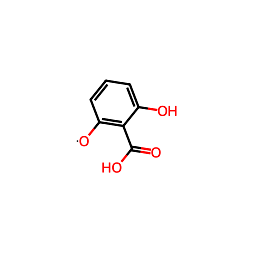 [O]c1cccc(O)c1C(=O)O